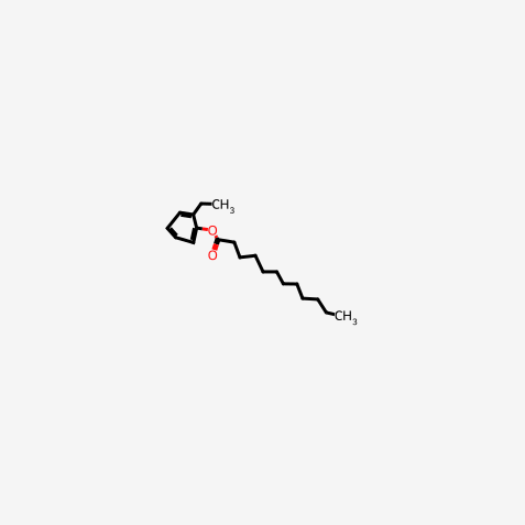 CCCCCCCCCCCC(=O)Oc1ccccc1CC